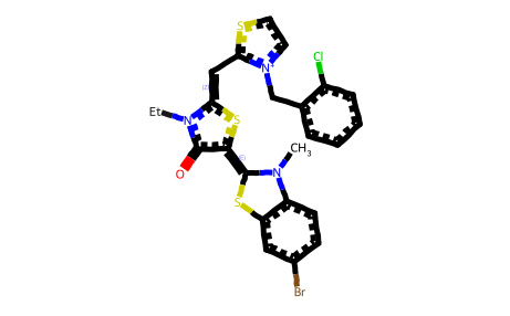 CCn1c(=O)/c(=C2\Sc3cc(Br)ccc3N2C)s/c1=C\c1scc[n+]1Cc1ccccc1Cl